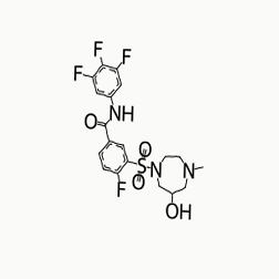 CN1CCN(S(=O)(=O)c2cc(C(=O)Nc3cc(F)c(F)c(F)c3)ccc2F)CC(O)C1